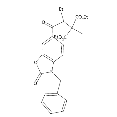 CCOC(=O)C(C)(C(=O)OCC)C(CC)C(=O)c1ccc2c(c1)oc(=O)n2Cc1ccccc1